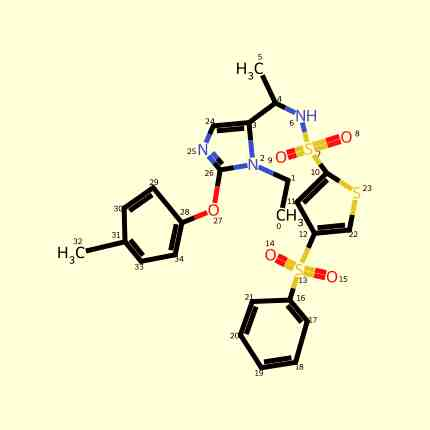 CCn1c(C(C)NS(=O)(=O)c2cc(S(=O)(=O)c3ccccc3)cs2)cnc1Oc1ccc(C)cc1